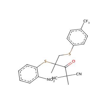 CC(C#N)(C#N)C(=O)C(C)(CSc1ccc(C(F)(F)F)cc1)Sc1ccccc1[N+](=O)[O-]